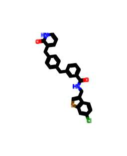 O=C(NCc1csc2cc(Cl)ccc12)c1cccc(Cc2ccc(Cc3ccc[nH]c3=O)cc2)c1